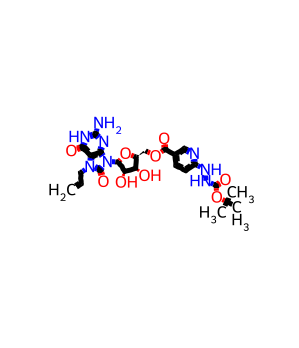 C=CCn1c(=O)n(C2O[C@H](COC(=O)c3ccc(NNC(=O)OC(C)(C)C)nc3)[C@@H](O)[C@H]2O)c2nc(N)[nH]c(=O)c21